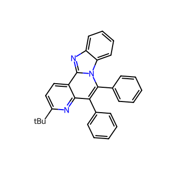 CC(C)(C)c1ccc2c(n1)c(-c1ccccc1)c(-c1ccccc1)n1c3ccccc3nc21